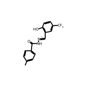 Cc1ccc(C(=O)N/N=C/c2cc(C(F)(F)F)ccc2O)cc1